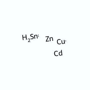 [Cd].[Cu].[SnH2].[Zn]